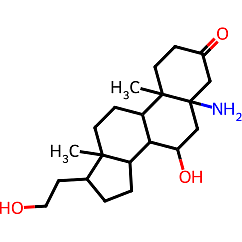 CC12CCC3C(C(O)CC4(N)CC(=O)CCC34C)C1CCC2CCO